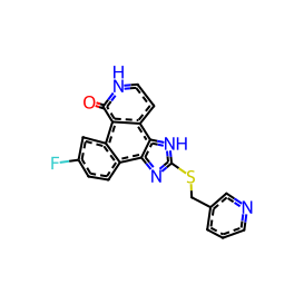 O=c1[nH]ccc2c3[nH]c(SCc4cccnc4)nc3c3ccc(F)cc3c12